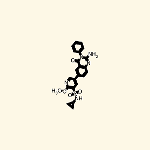 COc1ncc(-c2ccc3nc(N)n(-c4ccccc4)c(=O)c3c2)cc1S(=O)(=O)NC1CC1